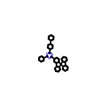 c1ccc(-c2ccc(-c3nc(-c4ccccc4)nc(-c4ccc5c(c4)-c4ccccc4C54c5ccccc5-c5ccccc54)n3)cc2)cc1